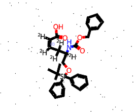 [2H]/C(C(=O)O)=C(\[2H])C([2H])([2H])[C@@]([2H])(CO[Si](c1ccccc1)(c1ccccc1)C(C)(C)C)NC(=O)OCc1ccccc1